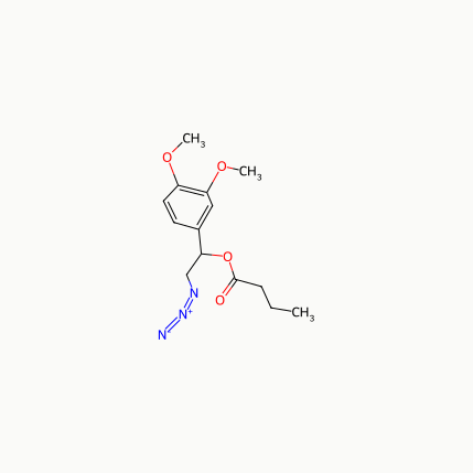 CCCC(=O)OC(CN=[N+]=[N-])c1ccc(OC)c(OC)c1